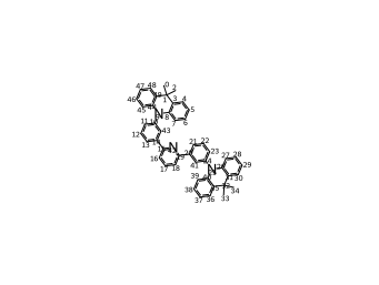 CC1(C)c2ccccc2N(c2cccc(-c3cccc(-c4cccc(N5c6ccccc6C(C)(C)c6ccccc65)c4)n3)c2)c2ccccc21